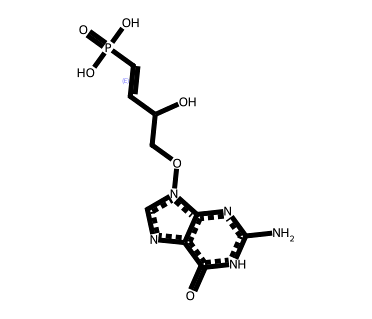 Nc1nc2c(ncn2OCC(O)/C=C/P(=O)(O)O)c(=O)[nH]1